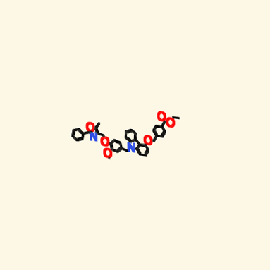 CCOC(=O)c1ccc(COc2cccc3c2c2ccccc2n3Cc2ccc(OCc3nc(-c4ccccc4)oc3C)c(OC)c2)cc1